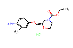 CCOC(=O)N1CCOC(=COc2ccc(N)c(C)c2)C1.Cl